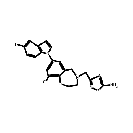 Nc1nc(CN2CCOc3c(Cl)cc(-n4ccc5cc(F)ccc54)cc3C2)ns1